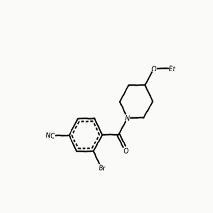 CCOC1CCN(C(=O)c2ccc(C#N)cc2Br)CC1